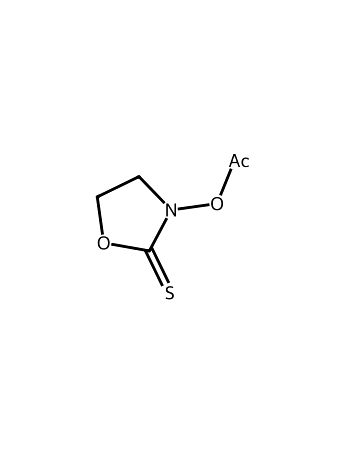 CC(=O)ON1CCOC1=S